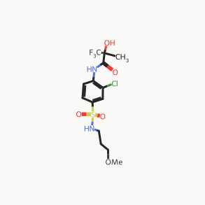 COCCCNS(=O)(=O)c1ccc(NC(=O)[C@@](C)(O)C(F)(F)F)c(Cl)c1